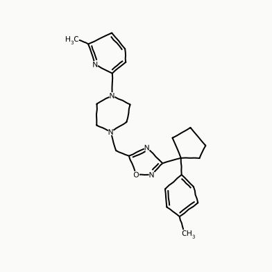 Cc1ccc(C2(c3noc(CN4CCN(c5cccc(C)n5)CC4)n3)CCCC2)cc1